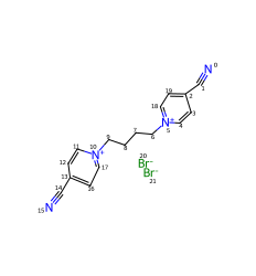 N#Cc1cc[n+](CCCC[n+]2ccc(C#N)cc2)cc1.[Br-].[Br-]